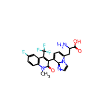 Cn1c(=O)c(-c2ccc(CC(N)C(=O)O)n3ccnc23)c(C(F)(F)F)c2cc(F)ccc21